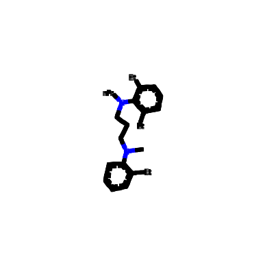 CCCN(CCCN(C)c1ccccc1CC)c1c(CC)cccc1CC